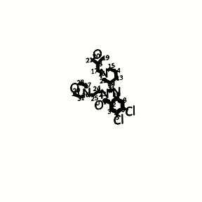 O=c1c2cc(Cl)c(Cl)cc2nc([C@@H]2CCCN(CC3COC3)C2)n1CCN1CCOCC1